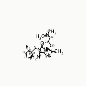 C=C(/N=C\c1[nH]c(=O)n(CC2C=CC=CC2F)c1N)NCCCN(C)C